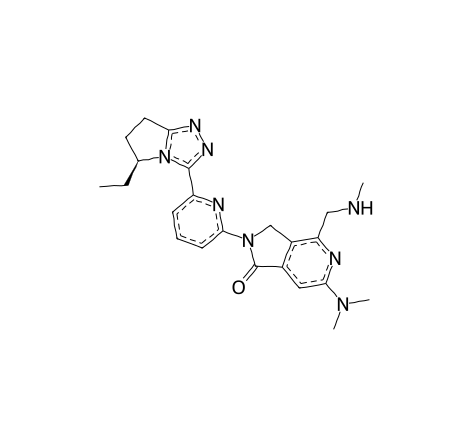 CC[C@H]1CCc2nnc(-c3cccc(N4Cc5c(cc(N(C)C)nc5CNC)C4=O)n3)n21